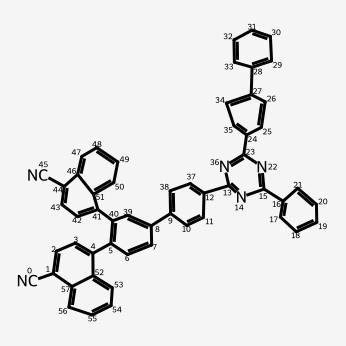 N#Cc1ccc(-c2ccc(-c3ccc(-c4nc(-c5ccccc5)nc(-c5ccc(-c6ccccc6)cc5)n4)cc3)cc2-c2ccc(C#N)c3ccccc23)c2ccccc12